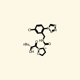 CCCC[C@@H](O)C(=O)N1OCC[C@H]1C(=O)NCc1cc(Cl)ccc1-n1cnnn1